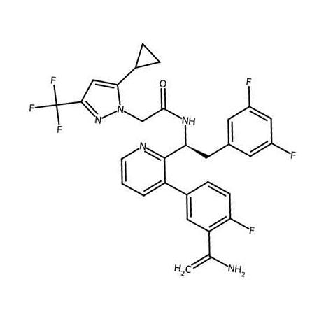 C=C(N)c1cc(-c2cccnc2[C@H](Cc2cc(F)cc(F)c2)NC(=O)Cn2nc(C(F)(F)F)cc2C2CC2)ccc1F